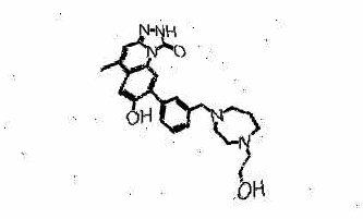 Cc1cc2n[nH]c(=O)n2c2cc(-c3cccc(CN4CCCN(CCO)CC4)c3)c(O)cc12